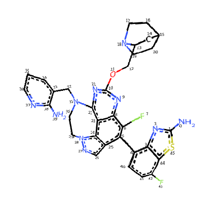 Nc1nc2c(-c3c(F)c4nc(OCC5CC6CCN5CC6)nc5c4c4c3cnn4CCN5Cc3cccnc3N)ccc(F)c2s1